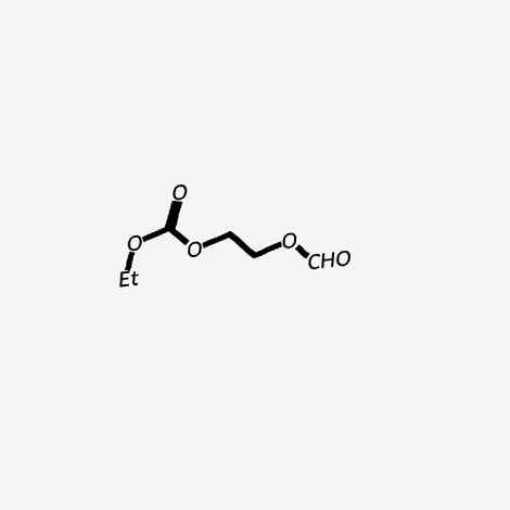 CCOC(=O)OCCOC=O